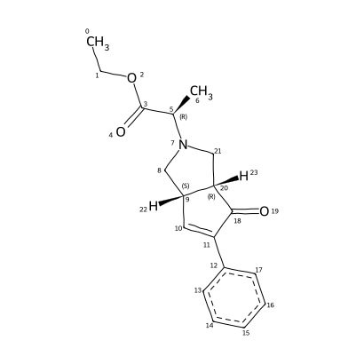 CCOC(=O)[C@@H](C)N1C[C@H]2C=C(c3ccccc3)C(=O)[C@H]2C1